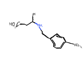 CC(C)C(CC(=O)O)NCc1ccc([N+](=O)[O-])cc1